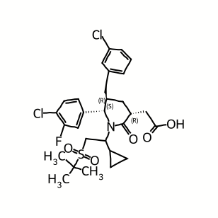 CC(C)(C)S(=O)(=O)CC(C1CC1)N1C(=O)[C@@H](CC(=O)O)C[C@H](Cc2cccc(Cl)c2)[C@H]1c1ccc(Cl)c(F)c1